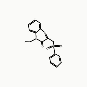 CCn1c(=O)c(CS(=O)(=O)c2ccccc2)nc2ccccc21